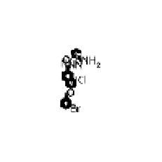 Cl.N=C(N)N1CCC[C@H]1c1nc(-c2ccc3cc(OCc4cccc(Br)c4)ccc3c2)no1